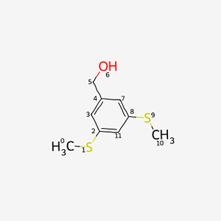 CSc1cc(CO)cc(SC)c1